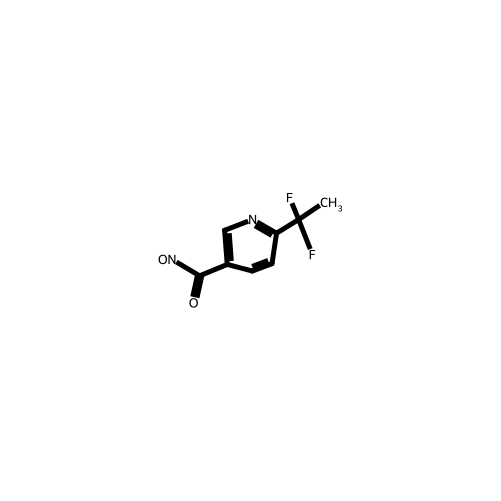 CC(F)(F)c1ccc(C(=O)N=O)cn1